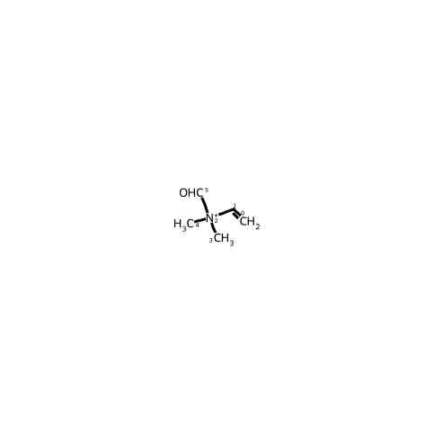 C=C[N+](C)(C)C=O